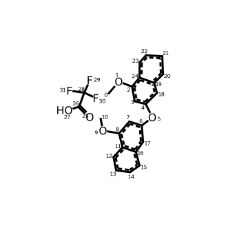 COc1cc(Oc2cc(OC)c3ccccc3c2)cc2ccccc12.O=C(O)C(F)(F)F